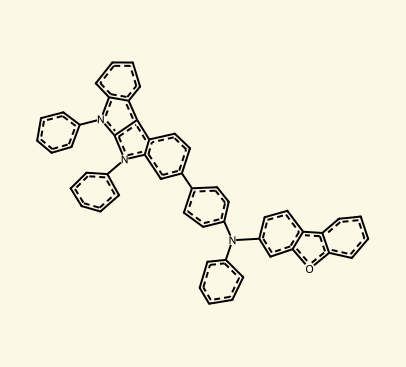 c1ccc(N(c2ccc(-c3ccc4c5c6ccccc6n(-c6ccccc6)c5n(-c5ccccc5)c4c3)cc2)c2ccc3c(c2)oc2ccccc23)cc1